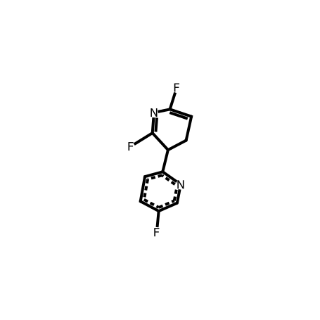 FC1=CCC(c2ccc(F)cn2)C(F)=N1